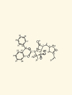 CCC1=NOC(C[C@@H]2C(=O)N3[C@@H](C(=O)OC(c4ccccc4)c4ccccc4)C(C)(C)S(=O)(=O)[C@H]23)C1